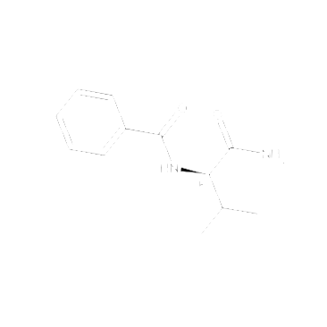 CC(C)[C@@H](NC(=O)c1ccccc1)C(N)=O